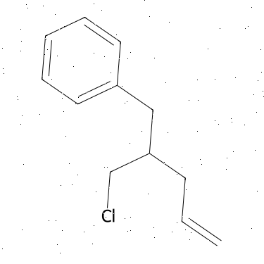 C=CCC(CCl)Cc1ccccc1